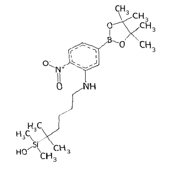 CC1(C)OB(c2ccc([N+](=O)[O-])c(NCCCCC(C)(C)[Si](C)(C)O)c2)OC1(C)C